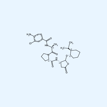 CC(C)[C@H]1CCCC[C@@H]1OC1OC(=O)C[C@@H]1NC(=O)[C@@H]1CCCN1C(=O)[C@H](C)NC(=O)c1ccc(N)c(Cl)c1